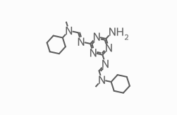 CN(C=Nc1nc(N)nc(N=CN(C)C2CCCCC2)n1)C1CCCCC1